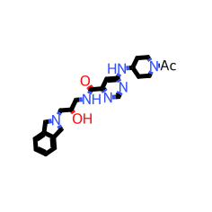 CC(=O)N1CCC(Nc2cc(C(=O)NCC(O)CN3Cc4ccccc4C3)ncn2)CC1